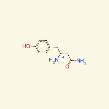 NC(=O)C[C@@H](N)Cc1ccc(O)cc1